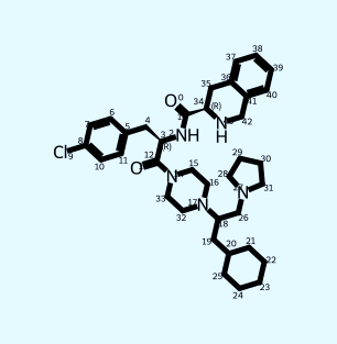 O=C(N[C@H](Cc1ccc(Cl)cc1)C(=O)N1CCN(C(CC2CCCCC2)CN2CCCC2)CC1)[C@H]1Cc2ccccc2CN1